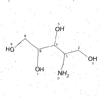 NC(CO)C(O)C(O)CO